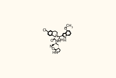 COc1cccc2[nH]c(C(O)N3CCc4cc(Cl)ccc4[C@H]3C(=O)N[C@H](C#N)C[C@@H]3CCNC3=O)cc12